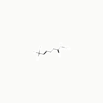 NNC(=O)CCC=CC(F)(F)F